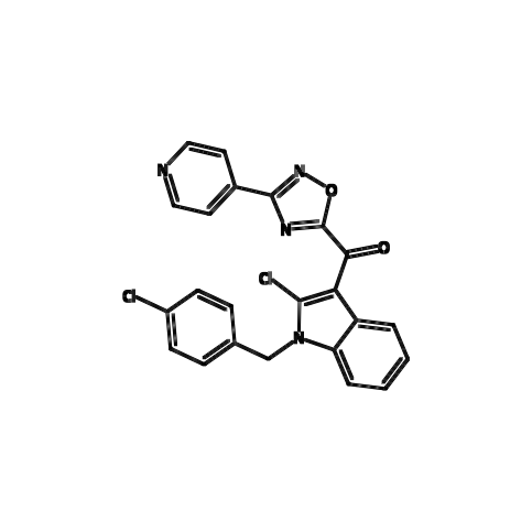 O=C(c1nc(-c2ccncc2)no1)c1c(Cl)n(Cc2ccc(Cl)cc2)c2ccccc12